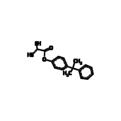 CC(C)(c1ccccc1)c1ccc(OC(=O)C(S)S)cc1